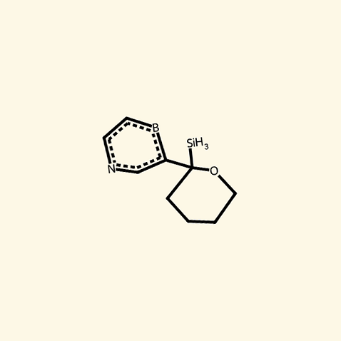 [SiH3]C1(c2bccnc2)CCCCO1